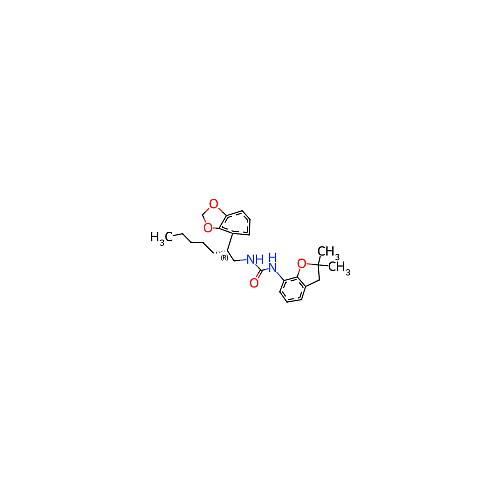 CCCCC[C@@H](CNC(=O)Nc1cccc2c1OC(C)(C)C2)c1cccc2c1OCO2